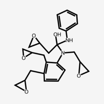 OC(CC1CO1)(Nc1ccccc1)N(CC1CO1)c1cccc(CC2CO2)c1CC1CO1